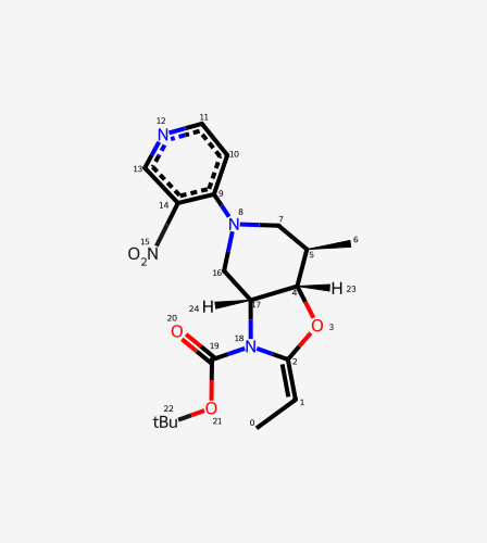 CC=C1O[C@H]2[C@H](C)CN(c3ccncc3[N+](=O)[O-])C[C@H]2N1C(=O)OC(C)(C)C